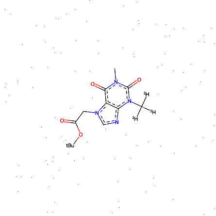 [2H]C([2H])([2H])n1c(=O)n(C)c(=O)c2c1ncn2CC(=O)OC(C)(C)C